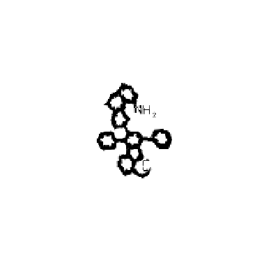 Nc1cccc2ccc3ccc(-c4cc(-c5ccccc5)c5c(c4-c4ccccc4)-c4cccc6cccc-5c46)cc3c12